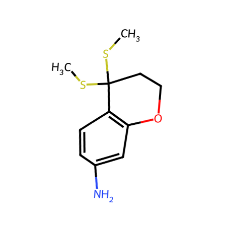 CSC1(SC)CCOc2cc(N)ccc21